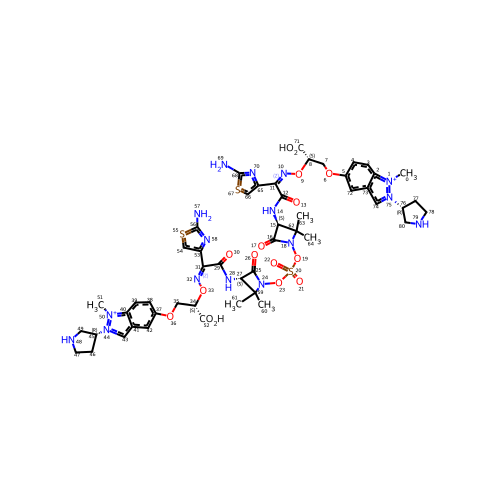 C[n+]1c2ccc(OC[C@H](O/N=C(\C(=O)N[C@@H]3C(=O)N(OS(=O)(=O)ON4C(=O)[C@@H](NC(=O)/C(=N\O[C@@H](COc5ccc6c(c5)cn([C@@H]5CCNC5)[n+]6C)C(=O)O)c5csc(N)n5)C4(C)C)C3(C)C)c3csc(N)n3)C(=O)O)cc2cn1[C@@H]1CCNC1